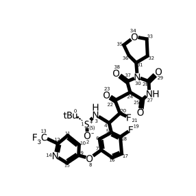 CC(C)(C)[S@@+]([O-])NC(c1cc(Oc2ccc(C(F)(F)F)nc2)ccc1F)C(F)C(=O)C1C(=O)NC(=O)N(C2CCOCC2)C1=O